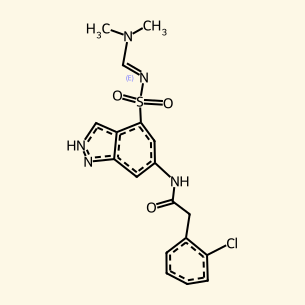 CN(C)/C=N/S(=O)(=O)c1cc(NC(=O)Cc2ccccc2Cl)cc2n[nH]cc12